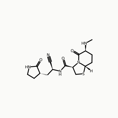 CN[C@H]1CC[C@@H]2SC[C@@H](C(=O)N[C@H](C#N)C[C@@H]3CCNC3=O)N2C1=O